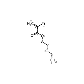 C=COCCOC(=O)C(=C)CC